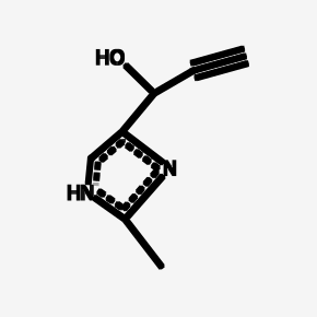 C#CC(O)c1c[nH]c(C)n1